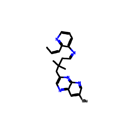 C/C=C\c1ncccc1/N=C\CC(C)(C)Cc1cnc2cc(C(C)(C)C)cnc2n1